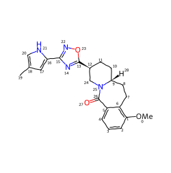 COc1cccc2c1CC[C@H]1CC[C@H](c3nc(-c4cc(C)c[nH]4)no3)CN1C2=O